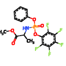 COC(=O)C(C)NP(=O)(Oc1ccccc1)Oc1c(F)c(F)c(F)c(F)c1F